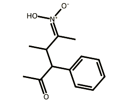 CC(=O)C(c1ccccc1)C(C)/C(C)=[N+](/[O-])O